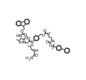 CC(C)[C@H](NC(=O)OCC1c2ccccc2-c2ccccc21)C(=O)N[C@@H](CCCNC1OC1N)C(=O)Nc1ccc(COC(=O)N(C)CCN(C)C(=O)OC(C)(C)c2ccc(-c3ccccc3)cc2)cc1